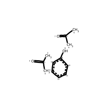 CC(C)=O.CC(C)=O.Oc1ccccc1